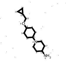 NC1CCN(C2CCC(OCC3CC3)CC2)CC1